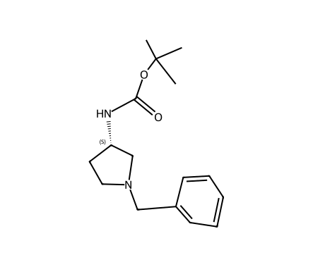 CC(C)(C)OC(=O)N[C@H]1CCN(Cc2ccccc2)C1